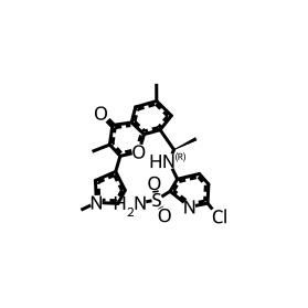 Cc1cc([C@@H](C)Nc2ccc(Cl)nc2S(N)(=O)=O)c2oc(-c3ccn(C)c3)c(C)c(=O)c2c1